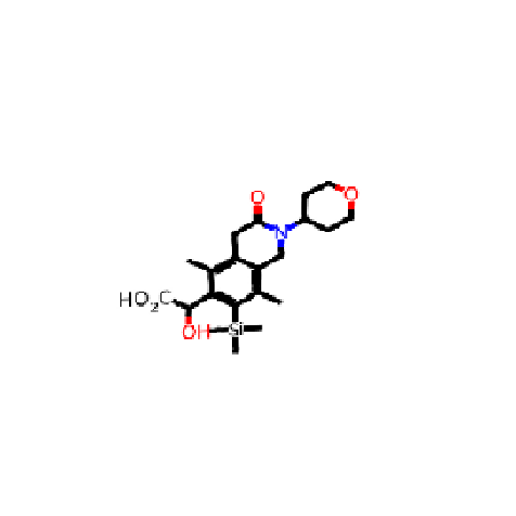 Cc1c2c(c(C)c([Si](C)(C)C)c1C(O)C(=O)O)CN(C1CCOCC1)C(=O)C2